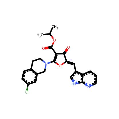 CC(C)OC(=O)C1=C(N2CCc3ccc(Cl)cc3C2)O/C(=C\c2c[nH]c3ncccc23)C1=O